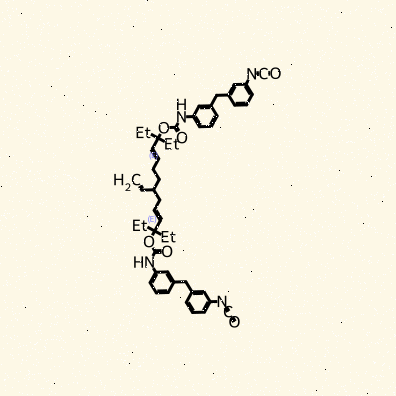 C=CC(C/C=C/C(CC)(CC)OC(=O)Nc1cccc(Cc2cccc(N=C=O)c2)c1)CC/C=C/C(CC)(CC)OC(=O)Nc1cccc(Cc2cccc(N=C=O)c2)c1